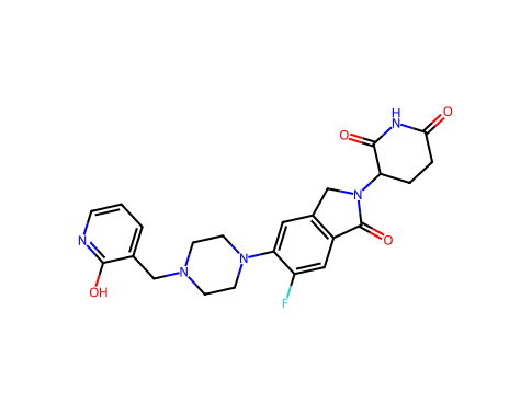 O=C1CCC(N2Cc3cc(N4CCN(Cc5cccnc5O)CC4)c(F)cc3C2=O)C(=O)N1